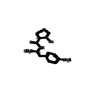 CC(=O)N1CSC[C@@H]1C(=O)N[C@@H](Cc1ccc(C(=O)O)cc1)C(=O)O